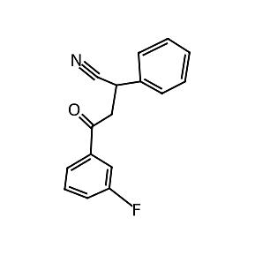 N#CC(CC(=O)c1cccc(F)c1)c1ccccc1